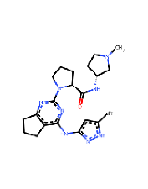 CC(C)c1cc(Nc2nc(N3CCC[C@H]3C(=O)N[C@@H]3CCN(C)C3)nc3c2CCC3)n[nH]1